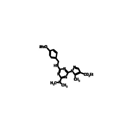 CCOC(=O)c1cnn(-c2nc(NCc3ccc(OC)cc3)nc(N(C)C)n2)c1C